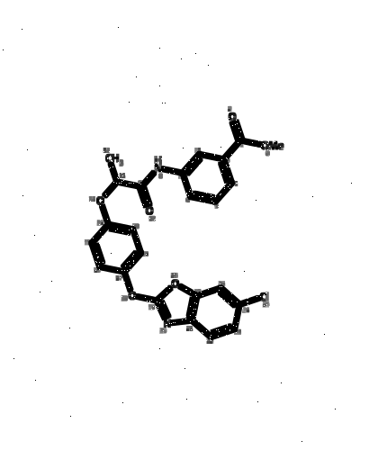 COC(=O)c1cccc(NC(=O)C(C)Oc2ccc(Oc3nc4ccc(Cl)cc4o3)cc2)c1